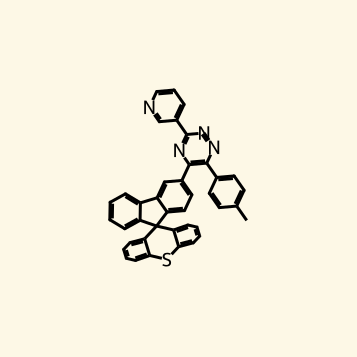 Cc1ccc(-c2nnc(-c3cccnc3)nc2-c2ccc3c(c2)-c2ccccc2C32c3ccccc3Sc3ccccc32)cc1